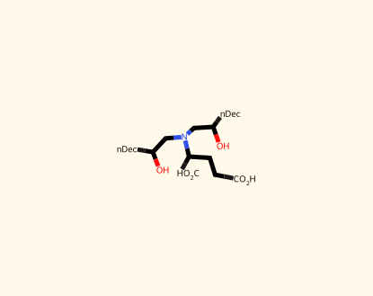 CCCCCCCCCCC(O)CN(CC(O)CCCCCCCCCC)C(CCC(=O)O)C(=O)O